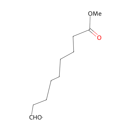 COC(=O)CCCCCCC[C]=O